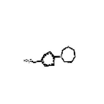 O=C(O)Cc1ccc(N2CCCCCC2)cc1